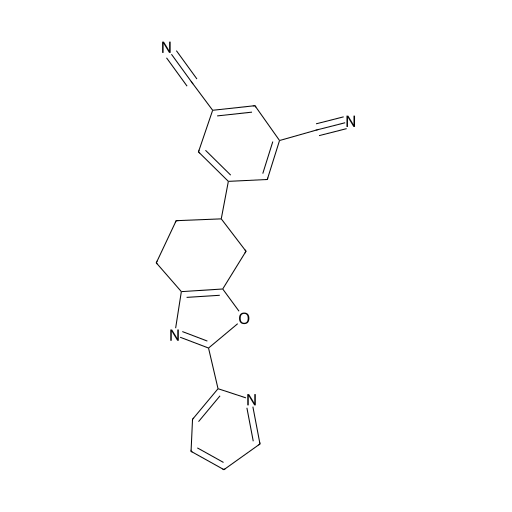 N#Cc1cc(C#N)cc(C2CCc3nc(-c4ccccn4)oc3C2)c1